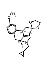 COc1ccc2c(c1)[C@]13CCN(CC4CC4)[C@H](C2)C1=CCC1(C3)OCCO1